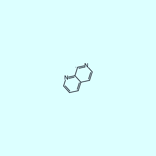 [c]1nccc2cccnc12